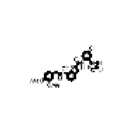 COc1ccc(CC(=O)Nc2cccc3cc(C(=O)Nc4ccc(Cl)cc4-c4noc(=O)[nH]4)[nH]c23)cc1OC